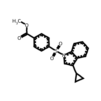 COC(=O)c1ccc(S(=O)(=O)n2cc(C3CC3)c3ccccc32)cc1